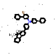 CC1(C)c2ccccc2-c2ccc(-c3ccc(N(c4ccc(-c5ccccc5)cc4)c4ccc(Br)c(-c5ccccc5)c4)cc3)cc21